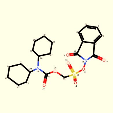 O=C1c2ccccc2C(=O)N1OS(=O)(=O)COC(=O)N(C1CCCCC1)C1CCCCC1